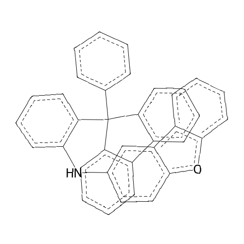 c1ccc(C2(c3ccccc3Nc3ccc4oc5ccccc5c4c3)c3ccccc3-c3ccccc32)cc1